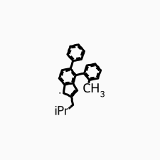 Cc1ccccc1-c1c(-c2ccccc2)ccc2c1C=C(CC(C)C)[CH]2